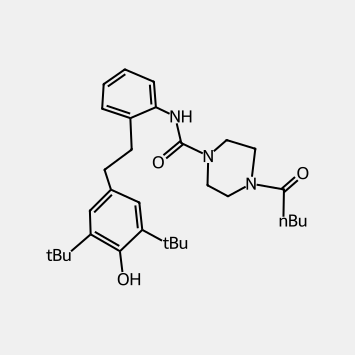 CCCCC(=O)N1CCN(C(=O)Nc2ccccc2CCc2cc(C(C)(C)C)c(O)c(C(C)(C)C)c2)CC1